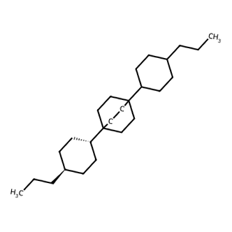 CCCC1CCC(C23CCC([C@H]4CC[C@H](CCC)CC4)(CC2)CC3)CC1